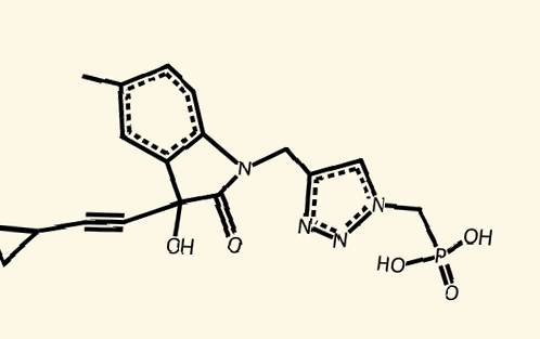 Cc1ccc2c(c1)C(O)(C#CC1CC1)C(=O)N2Cc1cn(CP(=O)(O)O)nn1